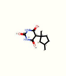 CC1CCC(C)(C2C(=O)NC(=O)NC2=O)C1